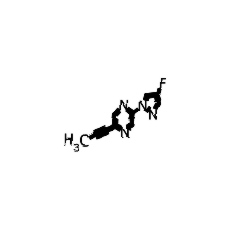 CC#Cc1cnc(-n2cc(F)cn2)cn1